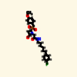 COc1ccc(CS(=O)(=O)C2CC(=O)N2CC(=O)NCCCCCCc2ccc(F)cc2)cc1